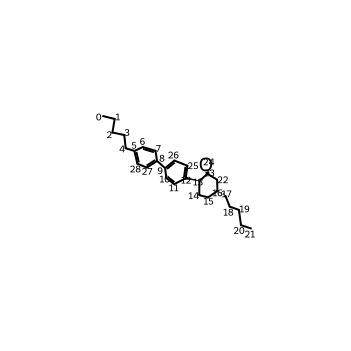 CCCCCc1ccc(-c2ccc([C@@H]3CC[C@@H](CCCCC)CC3=O)cc2)cc1